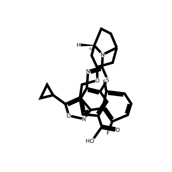 O=C(O)c1ccc2nc(N3C4CC[C@H]3CC(OCc3c(-c5c(F)cccc5F)noc3C3CC3)C4)sc2c1